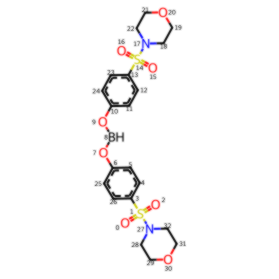 O=S(=O)(c1ccc(OBOc2ccc(S(=O)(=O)N3CCOCC3)cc2)cc1)N1CCOCC1